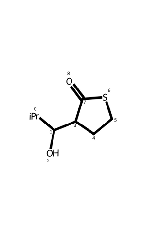 CC(C)C(O)C1CCSC1=O